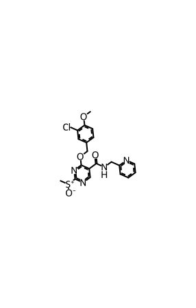 COc1ccc(COc2nc([S+](C)[O-])ncc2C(=O)NCc2ccccn2)cc1Cl